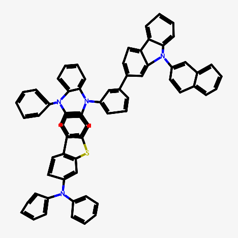 c1ccc(N(c2ccccc2)c2ccc3c(c2)sc2cc(N(c4cccc(-c5ccc6c7ccccc7n(-c7ccc8ccccc8c7)c6c5)c4)c4ccccc4N(c4ccccc4)c4ccccc4)ccc23)cc1